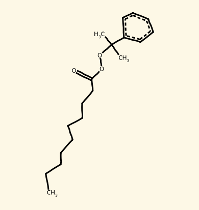 CCCCCCCCCC(=O)OOC(C)(C)c1ccccc1